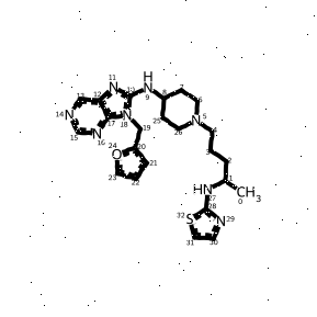 CC(CCCN1CCC(Nc2nc3cncnc3n2Cc2ccco2)CC1)Nc1nccs1